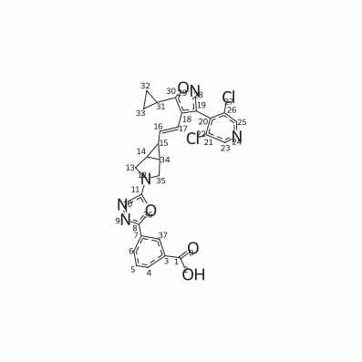 O=C(O)c1cccc(-c2nnc(N3CC4C(C=Cc5c(-c6c(Cl)cncc6Cl)noc5C5CC5)C4C3)o2)c1